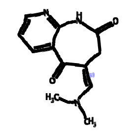 CN(C)/C=C1/CC(=O)Nc2ncccc2C1=O